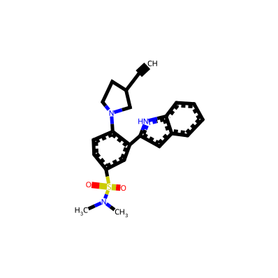 C#CC1CCN(c2ccc(S(=O)(=O)N(C)C)cc2-c2cc3ccccc3[nH]2)C1